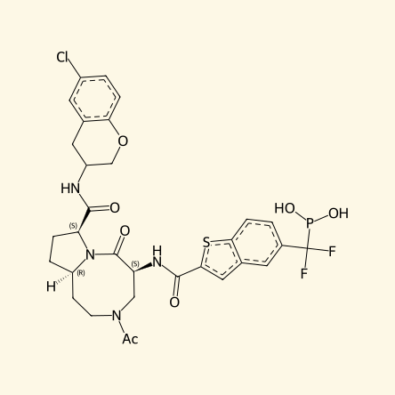 CC(=O)N1CC[C@H]2CC[C@@H](C(=O)NC3COc4ccc(Cl)cc4C3)N2C(=O)[C@@H](NC(=O)c2cc3cc(C(F)(F)P(O)O)ccc3s2)C1